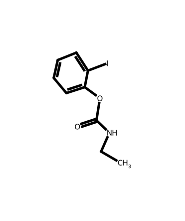 CCNC(=O)Oc1ccccc1I